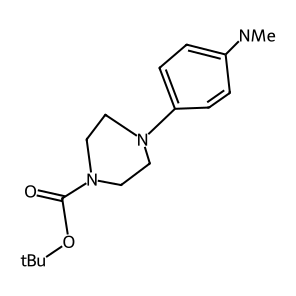 CNc1ccc(N2CCN(C(=O)OC(C)(C)C)CC2)cc1